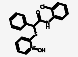 O=C(Nc1ccccc1Cl)C(Sc1cccc[n+]1O)c1ccccc1